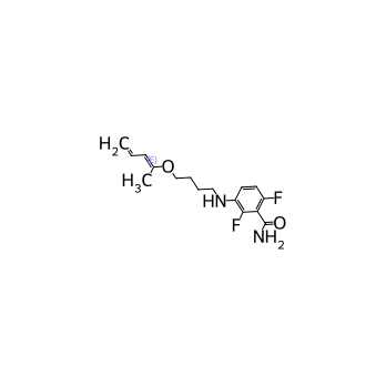 C=C/C=C(\C)OCCCCNc1ccc(F)c(C(N)=O)c1F